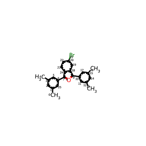 Cc1cc(C)cc(-c2oc(-c3cc(C)cc(C)c3)c3cc(Br)ccc23)c1